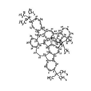 CC(C)(C)c1ccc2c(c1)-c1cc(C(C)(C)C)cc3c1C2CCc1cccc2c1B3c1c3ccc4ccccc4c3cc3c4ccc(C(C)(C)C)cc4n-2c13